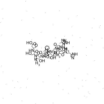 C[C@@H](O)[C@H](NC(=O)CNC(=O)[C@H](Cc1nn[nH]n1)NC(=O)C(C)(C)C(=O)NCCc1cnc[nH]1)C(=O)N[C@@](C)(Cc1ccccc1F)C(=O)N[C@@H](C(=O)N[C@@H](CO)C(=O)NC(C=O)CC(=O)O)[C@@H](C)O